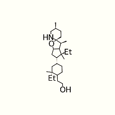 CC[C@]1(C)C[C@H](C2CC3O[C@@]4(CC[C@H](C)CN4)[C@@H](C)C3[C@@]2(C)CC)CCC1CCO